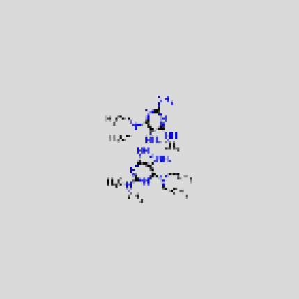 CCN(CC)c1nc(N(C)C)nc(N)c1N.CCN(CC)c1nc(N)nc(NC)c1N